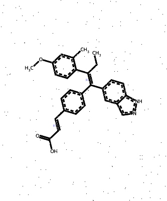 CC/C(=C(/c1ccc(/C=C/C(=O)O)cc1)c1ccc2[nH]ncc2c1)c1ccc(OC)cc1C